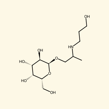 CC(CO[C@H]1O[C@H](CO)[C@H](O)[C@H](O)[C@H]1O)NCCCO